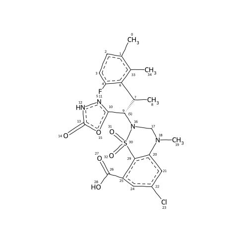 Cc1ccc(F)c(C(C)[C@@H](c2n[nH]c(=O)o2)N2CN(C)c3cc(Cl)cc(C(=O)O)c3S2(=O)=O)c1C